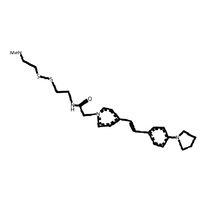 CNCCSSCCNC(=O)C[n+]1ccc(/C=C/c2ccc(N3CCCC3)cc2)cc1